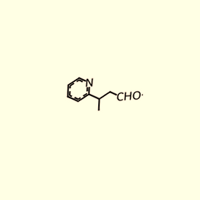 CC(C[C]=O)c1ccccn1